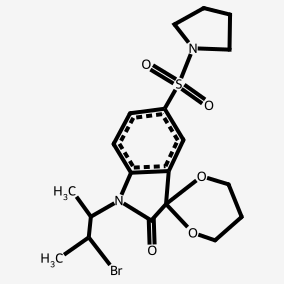 CC(Br)C(C)N1C(=O)C2(OCCCO2)c2cc(S(=O)(=O)N3CCCC3)ccc21